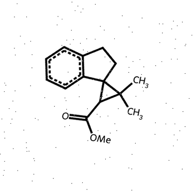 COC(=O)C1C(C)(C)C12CCc1ccccc12